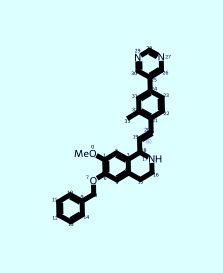 COc1cc2c(cc1OCc1ccccc1)CCNC2/C=C/c1ccc(-c2cncnc2)cc1C